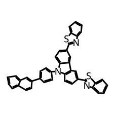 c1ccc2cc(-c3ccc(-n4c5ccc(-c6nc7ccccc7s6)cc5c5cc(-c6nc7ccccc7s6)ccc54)cc3)ccc2c1